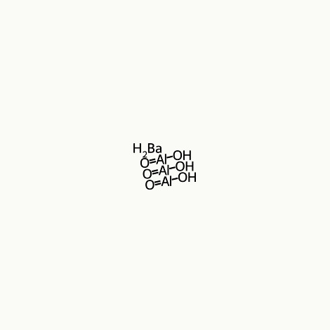 [BaH2].[O]=[Al][OH].[O]=[Al][OH].[O]=[Al][OH]